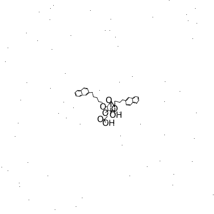 O=C(O)COC(C(=O)O)C(OCCCCCc1ccc2ccccc2c1)C(=O)NCCCc1ccc2ccccc2c1